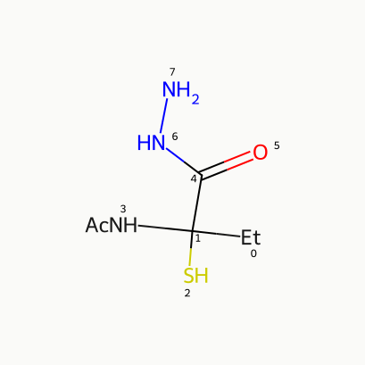 CCC(S)(NC(C)=O)C(=O)NN